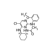 COc1ccccc1Nc1ncc(Cl)c(N[C@@H]2CCCC[C@H]2NC(C)=O)n1